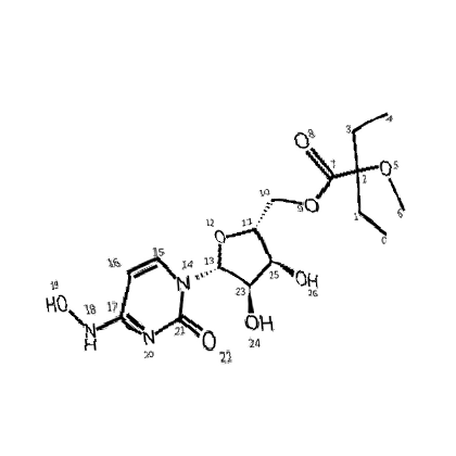 CCC(CC)(OC)C(=O)OC[C@H]1O[C@@H](n2ccc(NO)nc2=O)[C@H](O)[C@@H]1O